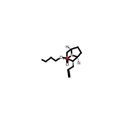 C=CC[C@H]1NC[C@H]2CC[C@@H]1N2C(=O)OCCCC